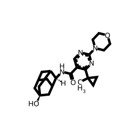 CC1(c2nc(N3CCOCC3)ncc2C(=O)N[C@H]2C3CC4CC2C[C@@](O)(C4)C3)CC1